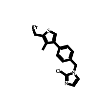 Cc1c(-c2ccc(Cn3ccnc3Cl)cc2)csc1CC(C)C